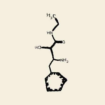 CCNC(=O)C(O)C(N)Cc1ccccc1